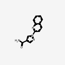 NC(=O)c1cnn(-c2ccc3ccccc3n2)c1